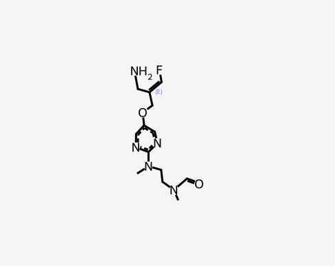 CN(C=O)CCN(C)c1ncc(OC/C(=C/F)CN)cn1